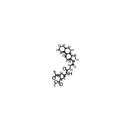 COC(=O)[C@@H]1C[C@H](NC(=O)CC[C@@H](C)[C@H]2CCC3C4CCC5CCCC[C@]5(C)C4CC[C@@]32C)CN1C(C)=O